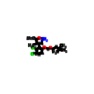 COC(=O)C(C)C(CN)c1c(OCOCC[Si](C)(C)C)ccc(Cl)c1Cl